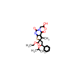 CCOC(=O)C1(CC(OC(C)C)c2ccccc2)SC2=NC(=O)N(CC(=O)O)C(=O)C2=C1C